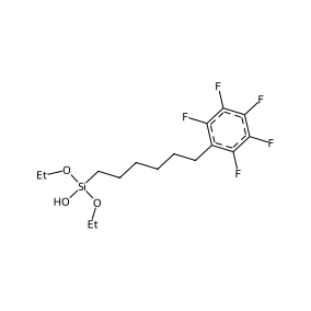 CCO[Si](O)(CCCCCCc1c(F)c(F)c(F)c(F)c1F)OCC